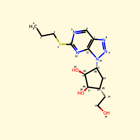 CCCSc1ncc2nnn([C@@H]3C[C@H](CCO)[C@@H](O)[C@H]3O)c2n1